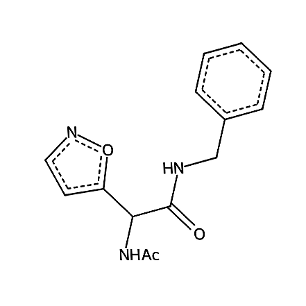 CC(=O)NC(C(=O)NCc1ccccc1)c1ccno1